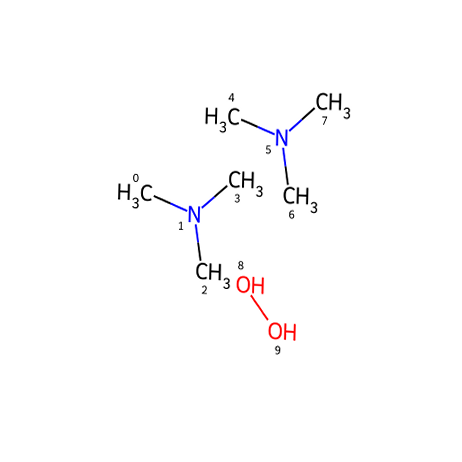 CN(C)C.CN(C)C.OO